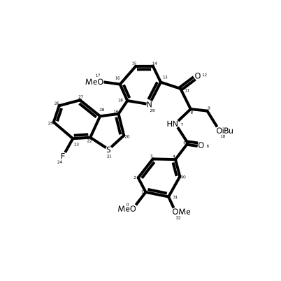 COc1ccc(C(=O)NC(COCC(C)C)C(=O)c2ccc(OC)c(-c3csc4c(F)cccc34)n2)cc1OC